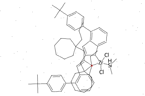 CCCC1(CC2=Cc3c(-c4ccc(C(C)(C)C)cc4)cccc3[CH]2[Zr]([Cl])([Cl])([CH]2C(CC3(CCC)CCCCCC3)=Cc3c(-c4ccc(C(C)(C)C)cc4)cccc32)[SiH](C)C)CCCCCC1